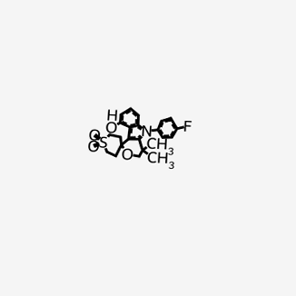 CC1(C)COC2(CCS(=O)(=O)CC2)c2c1n(-c1ccc(F)cc1)c1cccc(O)c21